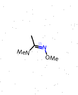 CN/C(C)=N\OC